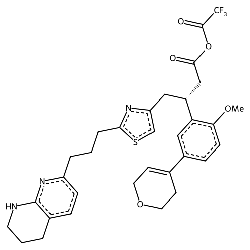 COc1ccc(C2=CCOCC2)cc1[C@@H](CC(=O)OC(=O)C(F)(F)F)Cc1csc(CCCc2ccc3c(n2)NCCC3)n1